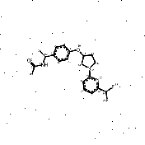 CC(=O)N[C@@H](C)c1ccc(OC2CCN(c3cccc(C(F)F)n3)C2)cc1